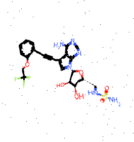 Nc1ncnc2c1c(C#Cc1ccccc1OCC(F)(F)F)cn2[C@@H]1O[C@H](CNS(N)(=O)=O)[C@@H](O)[C@H]1O